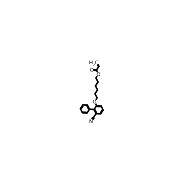 C=CC(=O)OCCCCCCOc1cccc(C#N)c1-c1ccccc1